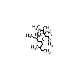 C=CC(C)C[C@H](C)CC(CC)CCN(C)C(C)C(C)(C)CCC